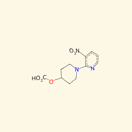 O=C(O)OC1CCN(c2ncccc2[N+](=O)[O-])CC1